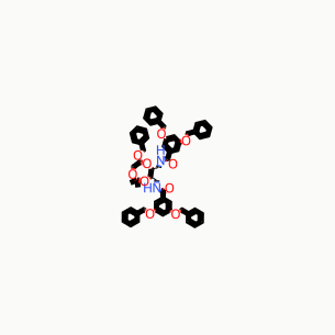 CC1(C)OC[C@H](OCc2ccccc2)O[C@H](CNC(=O)c2cc(OCc3ccccc3)cc(OCc3ccccc3)c2)[C@H](CNC(=O)c2cc(OCc3ccccc3)cc(OCc3ccccc3)c2)O1